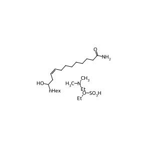 CCCCCCC(O)C/C=C\CCCCCCCC(N)=O.CCN(C)C.CCOS(=O)(=O)O